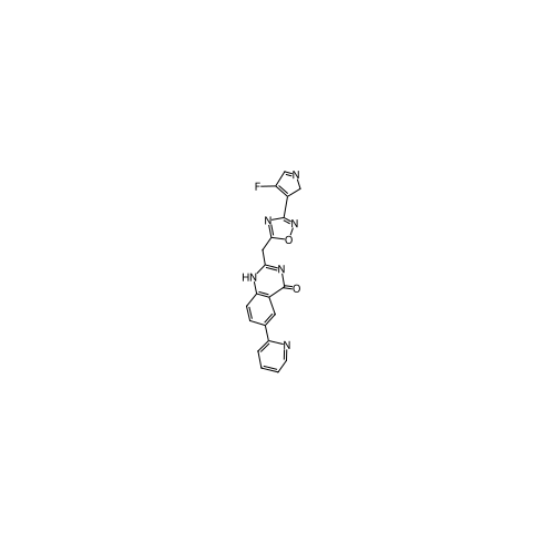 O=c1nc(Cc2nc(C3=C(F)C=NC3)no2)[nH]c2ccc(-c3ccccn3)cc12